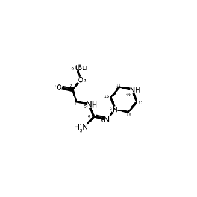 CC(C)(C)OC(=O)CNC(N)=NN1CCNCC1